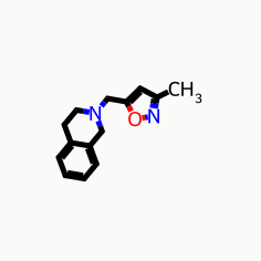 Cc1cc(CN2CCc3ccccc3C2)on1